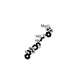 COCS(=O)(=O)c1cccc(OCC(O)CNC2COC3(CCN(S(=O)(=O)c4cnc5ccccc5c4)CC3)C2)c1